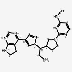 CC(C)Nc1ccnc(N2CCC(C(CN)n3cc(-c4ncnc5c4CCN5)cn3)C2)n1